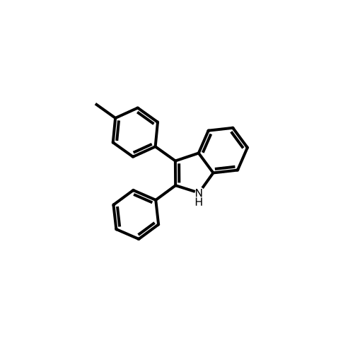 Cc1ccc(-c2c(-c3ccccc3)[nH]c3ccccc23)cc1